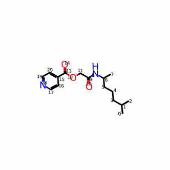 CC(C)CCCC(C)NC(=O)COC(=O)c1ccncc1